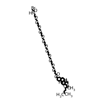 CC(C)CCC[C@@H](C)[C@H]1CC[C@H]2[C@@H]3CC=C4CC(OC(=O)CCOCCOCCOCCOCCOCCOCCOCCOCCOCCOCCOCCOCCNC(=O)CBr)CC[C@]4(C)[C@H]3CC[C@]12C